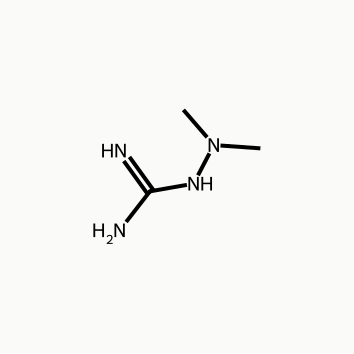 CN(C)NC(=N)N